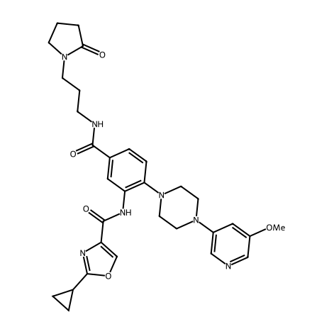 COc1cncc(N2CCN(c3ccc(C(=O)NCCCN4CCCC4=O)cc3NC(=O)c3coc(C4CC4)n3)CC2)c1